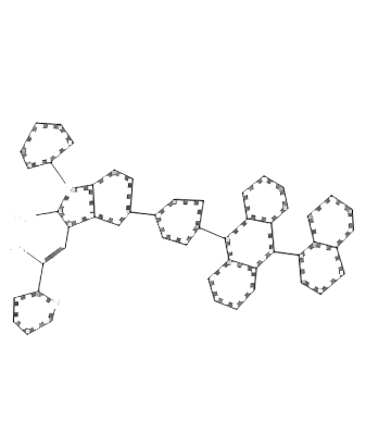 Cc1c(/C=C(\N)c2ccccn2)c2cc(-c3ccc(-c4c5ccccc5c(-c5cccc6ccccc56)c5ccccc45)cc3)ccc2n1-c1ccccc1